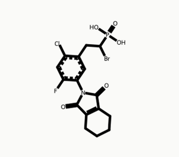 O=C1C2=C(CCCC2)C(=O)N1c1cc(CC(Br)P(=O)(O)O)c(Cl)cc1F